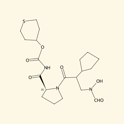 O=CN(O)CC(C(=O)N1CCC[C@H]1C(=O)NC(=O)OC1CCSCC1)C1CCCC1